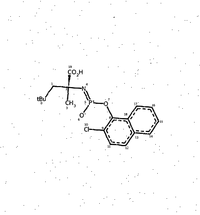 CC(C)(C)C[C@@](C)(/N=[P+](\[O-])Oc1c(Cl)ccc2ccccc12)C(=O)O